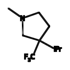 CC(C)C1(C(F)(F)F)CCN(C)C1